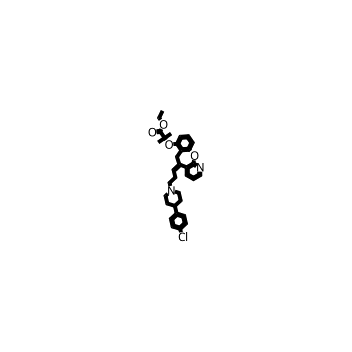 CCOC(=O)C(C)(C)Oc1cccc2c1C/C(=C/CCN1CCC(c3ccc(Cl)cc3)CC1)c1cccnc1O2